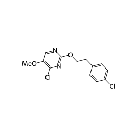 COc1cnc(OCCc2ccc(Cl)cc2)nc1Cl